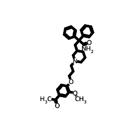 COc1cc(C(C)=O)ccc1OCCCN1CCCC(CC(C(N)=O)(c2ccccc2)c2ccccc2)C1